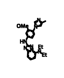 CCN(CC)c1cccc2nc(Nc3ccc(-n4cnc(C)c4)c(OC)c3)nn12